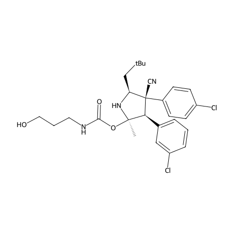 CC(C)(C)C[C@@H]1N[C@](C)(OC(=O)NCCCO)[C@H](c2cccc(Cl)c2)[C@@]1(C#N)c1ccc(Cl)cc1